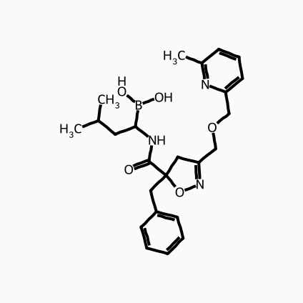 Cc1cccc(COCC2=NOC(Cc3ccccc3)(C(=O)NC(CC(C)C)B(O)O)C2)n1